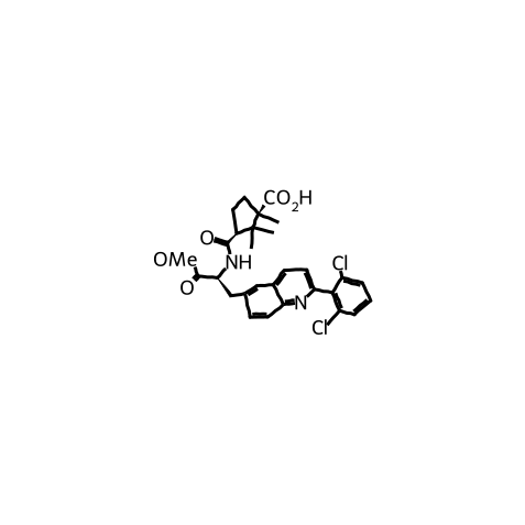 COC(=O)[C@H](Cc1ccc2nc(-c3c(Cl)cccc3Cl)ccc2c1)NC(=O)[C@H]1CC[C@@](C)(C(=O)O)C1(C)C